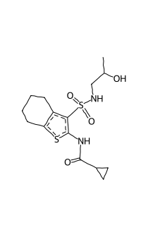 CC(O)CNS(=O)(=O)c1c(NC(=O)C2CC2)sc2c1CCCC2